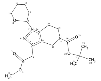 COC(=O)Cc1nn(C2CCCCO2)c2c1CN(C(=O)OC(C)(C)C)CC2